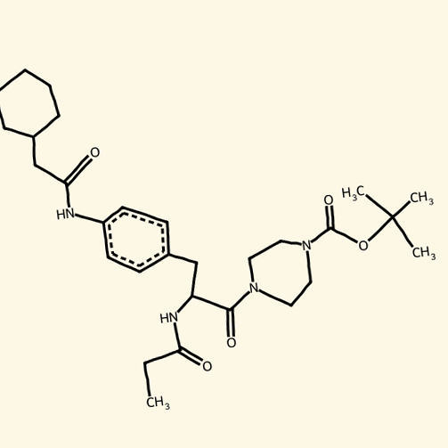 CCC(=O)NC(Cc1ccc(NC(=O)CC2CCCCC2)cc1)C(=O)N1CCN(C(=O)OC(C)(C)C)CC1